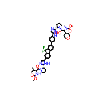 COC(=O)NC(C(=O)N1CCC[C@H]1c1ncc(-c2ccc3c(c2)C(F)(F)c2cc(-c4ccc(-c5cnc([C@@H]6CCCN6C(O)C(C6CCOCC6)N(C)C(=O)OC)[nH]5)cc4)ccc2-3)[nH]1)C(C)C